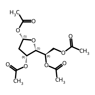 CC(=O)OC[C@@H](OC(C)=O)[C@H]1O[C@@H](OC(C)=O)C[C@H]1OC(C)=O